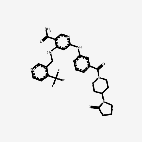 NC(=O)c1cnc(Nc2cccc(C(=O)N3CCC(N4CCCC4=O)CC3)c2)cc1NCc1cnccc1C(F)(F)F